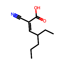 CCCC(C=C(C#N)C(=O)O)CC